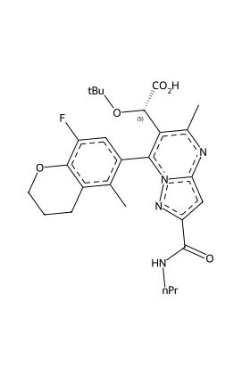 CCCNC(=O)c1cc2nc(C)c([C@H](OC(C)(C)C)C(=O)O)c(-c3cc(F)c4c(c3C)CCCO4)n2n1